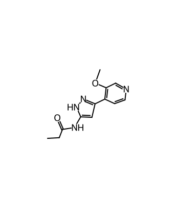 CCC(=O)Nc1cc(-c2ccncc2OC)n[nH]1